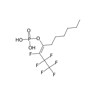 CCCCCCC(OP(=O)(O)O)=C(F)C(F)(F)C(F)(F)F